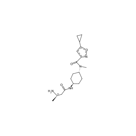 C[C@@H](N)CC(=O)N[C@H]1CC[C@H](N(C)C(=O)c2cc(C3CC3)on2)CC1